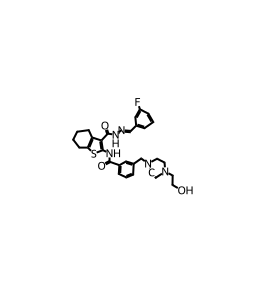 O=C(Nc1sc2c(c1C(=O)NN=Cc1cccc(F)c1)CCCC2)c1cccc(CN2CCN(CCO)CC2)c1